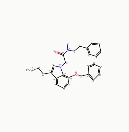 CN(CCc1ccccc1)C(=O)Cn1cc(CCC(=O)O)c2cccc(OCc3ccccc3)c21